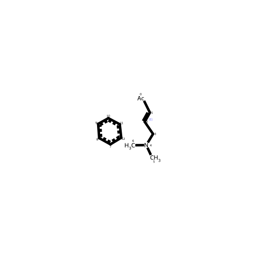 CC(=O)/C=C/CN(C)C.c1ccccc1